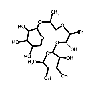 CC(C)C(OC[C@H](C)OC1OCC(O)C(O)C1O)[C@H](O)OC(O[C@H](C)CO)[C@@H](O)CO